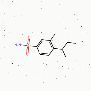 CCC(C)c1ccc(S(N)(=O)=O)cc1C